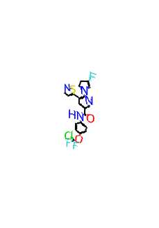 O=C(Nc1ccc(OC(F)(F)Cl)cc1)c1cnc(N2CCC(F)C2)c(-c2ccns2)c1